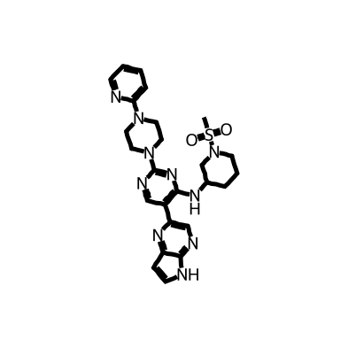 CS(=O)(=O)N1CCCC(Nc2nc(N3CCN(c4ccccn4)CC3)ncc2-c2cnc3[nH]ccc3n2)C1